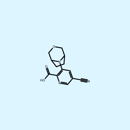 N#Cc1cnc(C(=O)O)c(N2C3CCC2COC3)c1